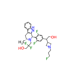 C[C@@H]1Cc2c([nH]c3ccccc23)[C@@H](c2c(F)cc(C(CO)C3CN(CCCF)C3)cc2F)N1CC(F)(F)CO